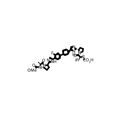 COC(=O)N[C@@H](C)C(=O)N1CCCC1c1ncc(-c2ccc(-c3ccc(-c4cnc([C@@H]5CCCN5C(=O)[C@H](C(C)C)N(C)C(=O)O)[nH]4)cc3)cc2F)[nH]1